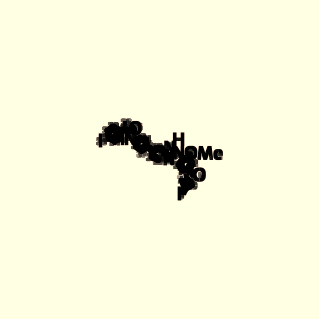 COc1cc(C(=O)N2CC(F)C2)ccc1Nc1nc2cc(-c3ccc(NC(=O)[C@H](C)c4ccc(F)cc4)cc3)ccn2n1